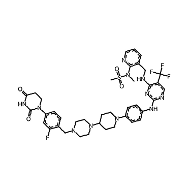 CN(c1ncccc1CNc1nc(Nc2ccc(N3CCC(N4CCN(Cc5ccc(N6CCC(=O)NC6=O)cc5F)CC4)CC3)cc2)ncc1C(F)(F)F)S(C)(=O)=O